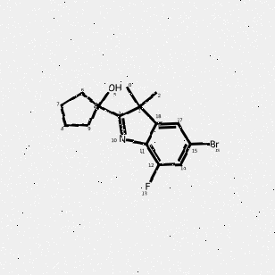 CC1(C)C(C2(O)CCCC2)=Nc2c(F)cc(Br)cc21